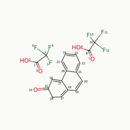 O=C(O)C(F)(F)F.O=C(O)C(F)(F)F.O=C1C=c2c(ccc3ccccc23)=CC1